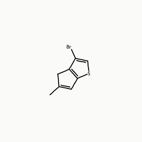 CC1=Cc2scc(Br)c2C1